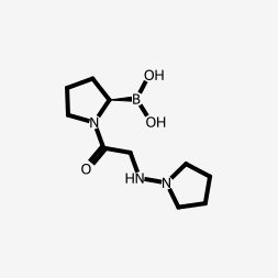 O=C(CNN1CCCC1)N1CCC[C@H]1B(O)O